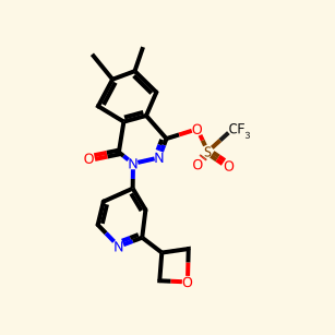 Cc1cc2c(OS(=O)(=O)C(F)(F)F)nn(-c3ccnc(C4COC4)c3)c(=O)c2cc1C